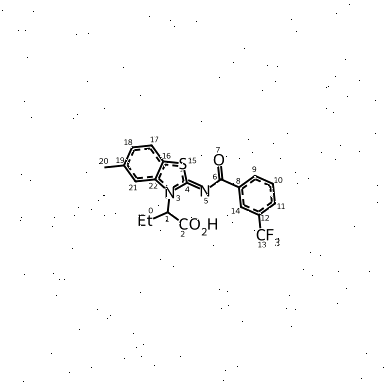 CCC(C(=O)O)n1c(=NC(=O)c2cccc(C(F)(F)F)c2)sc2ccc(C)cc21